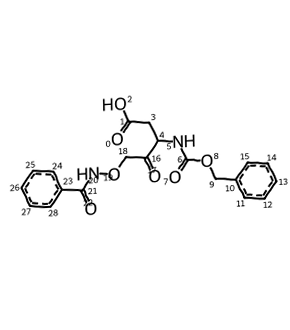 O=C(O)CC(NC(=O)OCc1ccccc1)C(=O)CONC(=O)c1ccccc1